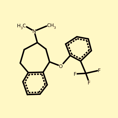 CN(C)C1CCc2ccccc2C(Oc2ccccc2C(F)(F)F)C1